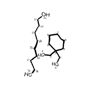 OCC1(CO)CCCCC1.OCCCCCCCCO